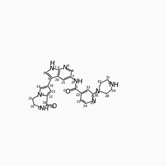 O=C(Nc1cnc2[nH]cc(-c3cc4n(c3)CCNC4=O)c2c1)c1ccnc(N2CCNCC2)c1